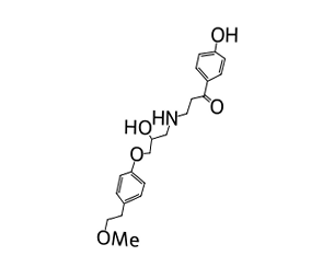 COCCc1ccc(OCC(O)CNCCC(=O)c2ccc(O)cc2)cc1